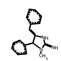 CN1C(=N)NC(=Cc2ccccc2)C1c1ccccc1